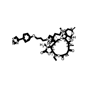 CC[C@H]1OC(=O)[C@H](C)C(=O)[C@H](C)[C@H]2O[C@@H]3O[C@H](C)C[C@H](N(C)CCc4cn(CCCOc5ccc(-c6csnn6)cc5)nn4)C34OO[C@]24C[C@@H](C)C(=O)[C@H](C)[C@H]2N(N)C(=O)O[C@]12C